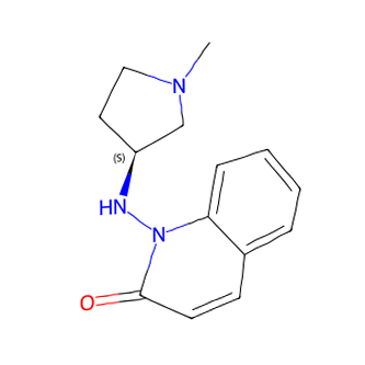 CN1CC[C@H](Nn2c(=O)ccc3ccccc32)C1